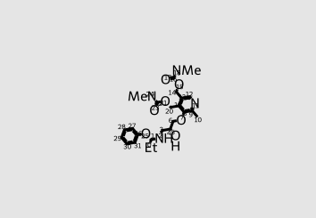 CCC(NCC(O)COc1c(C)ncc(COC(=O)NC)c1COC(=O)NC)Oc1ccccc1